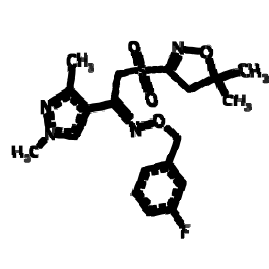 Cc1nn(C)cc1C(CS(=O)(=O)C1=NOC(C)(C)C1)=NOCc1cccc(F)c1